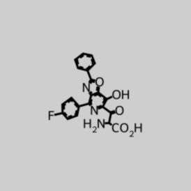 NC(C(=O)O)C(=O)c1nc(-c2ccc(F)cc2)c2nc(-c3ccccc3)oc2c1O